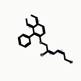 C/C=c1/ccc(OC/C(Cl)=C\C=C/CBr)c(-c2ccccc2)/c1=C/C